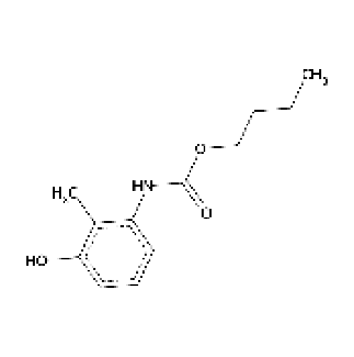 CCCCOC(=O)Nc1cccc(O)c1C